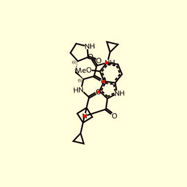 COc1cccc2[nH]c(C(=O)N3CC4(C5CC5)CC3(C(=O)N[C@@H](C[C@@H]3CCNC3=O)C(=O)C(=O)NC3CC3)C4)cc12